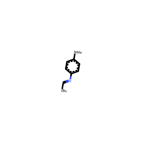 CNc1ccc(/N=C/C(C)(C)C)cc1